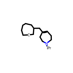 CC(C)N1CCC=C(CC2CCCCCCC2)CC1